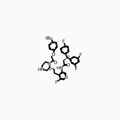 CC(C)(C)c1ccc(OCC(=O)N2CCNC[C@@H]2CCc2c(F)cncc2NC(=O)C[C@@H](c2ccc(F)cc2)c2cc(F)cc(F)c2)cc1